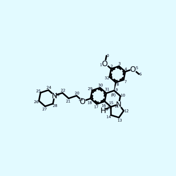 COc1cc(OC)cc([C@H]2CN3CCC[C@@H]3c3cc(OCCCN4CCCCC4)ccc32)c1